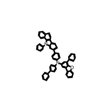 c1ccc(-c2ccc(N(c3ccc(-c4ccc5c6ccc7ccccc7c6n(-c6ccccc6)c5c4)cc3)c3cc(-c4ccccc4)c4oc5ccccc5c4c3)cc2)cc1